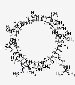 C/C=C/C[C@@H](C)[C@@H](O)[C@H]1C(=O)N(C)[C@@H](CC)C(=O)N(C)[C@H](CSCCNC(C)C)C(=O)N(C)[C@@H](CC(C)(C)O)C(=O)N[C@@H](C(C)C)C(=O)N(C)[C@@H](CC(C)C)C(=O)N[C@@H](C)C(=O)N[C@H](C)C(=O)N(C)[C@@H](CC(C)C)C(=O)N(C)[C@@H](CC(C)C)C(=O)N(C)[C@@H](C(C)C)C(=O)N1C